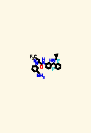 NCc1cccc(-n2nc(C(F)(F)F)cc2C(=O)Nc2cccc(C(NCC3CC3)c3c(F)cccc3F)c2)c1